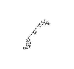 CCOc1ccc(C2CCC(CCCCCC(CCCCCC3CCC(c4ccc(OCC)c(F)c4F)OC3)=C(F)F)CO2)c(F)c1F